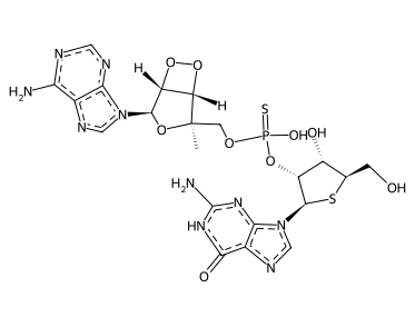 C[C@]1(COP(O)(=S)O[C@@H]2[C@H](O)[C@@H](CO)S[C@H]2n2cnc3c(=O)[nH]c(N)nc32)O[C@@H](n2cnc3c(N)ncnc32)[C@@H]2OO[C@@H]21